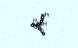 CCCN1CCN(c2ccc(Nc3ncc(C(=O)Nc4c(C)cccc4C)c(Oc4ccc(OCc5ccccc5)cc4)n3)cc2)CC1